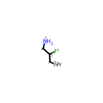 CCCCC(F)CN